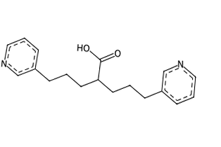 O=C(O)C(CCCc1cccnc1)CCCc1cccnc1